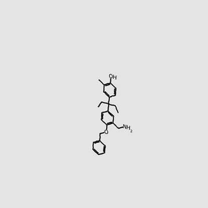 CCC(CC)(c1ccc(O)c(C)c1)c1ccc(OCc2ccccc2)c(CN)c1